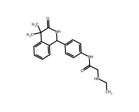 CCNCC(=O)Nc1ccc(C2NC(=O)C(C)(C)c3ccccc32)cc1